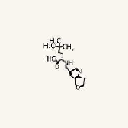 CC(C)(C)CC[C@H](NCc1cnc2c(c1)COCC2)C(=O)O